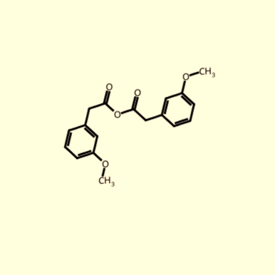 COc1cccc(CC(=O)OC(=O)Cc2cccc(OC)c2)c1